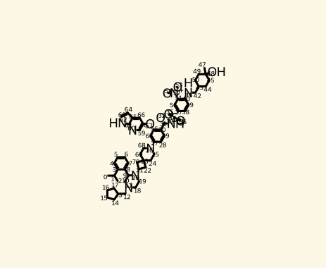 CC(C)c1ccccc1C1CN(CC2CCCC2)CCN1C1CC2(CCN(c3ccc(C(=O)NS(=O)(=O)c4ccc(NCC5CCC(C)(O)CC5)c([N+](=O)[O-])c4)c(Oc4cnc5[nH]ccc5c4)c3)CC2)C1